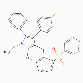 Cc1c(Cc2ccccc2S(=O)(=O)c2ccccc2)c(-c2ccc(F)cc2)c(-c2ccccc2)n1CC(=O)O